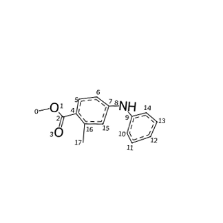 COC(=O)c1ccc(Nc2ccccc2)cc1C